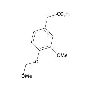 COCOc1ccc(CC(=O)O)cc1OC